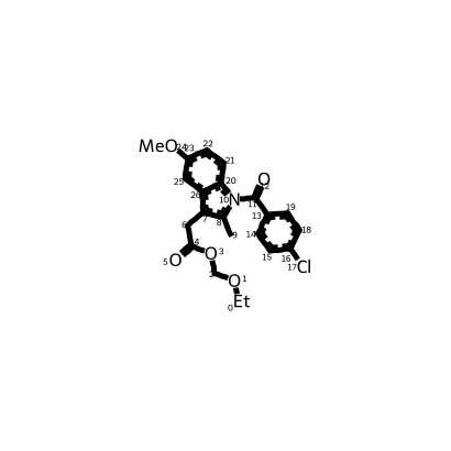 CCOCOC(=O)Cc1c(C)n(C(=O)c2ccc(Cl)cc2)c2ccc(OC)cc12